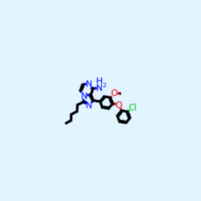 CCCCCc1nc(-c2ccc(Oc3ccccc3Cl)c(OC)c2)c2c(N)nccn12